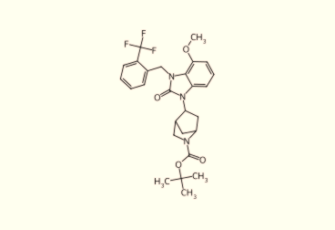 COc1cccc2c1n(Cc1ccccc1C(F)(F)F)c(=O)n2C1CC2CC1CN2C(=O)OC(C)(C)C